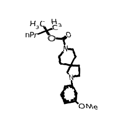 CCCC(C)(C)OC(=O)N1CCC2(CC1)CCN(c1cccc(OC)c1)C2